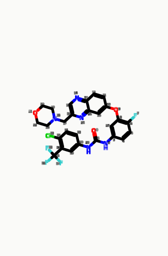 O=C(Nc1ccc(F)c(Oc2ccc3ncc(CN4CCOCC4)nc3c2)c1)Nc1ccc(Cl)c(C(F)(F)F)c1